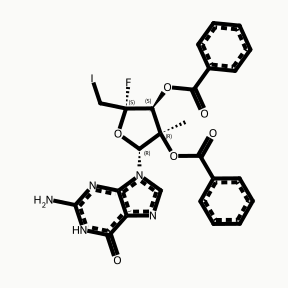 C[C@]1(OC(=O)c2ccccc2)[C@H](n2cnc3c(=O)[nH]c(N)nc32)O[C@@](F)(CI)[C@H]1OC(=O)c1ccccc1